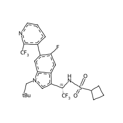 CC(C)(C)Cn1cc([C@H](NS(=O)(=O)C2CCC2)C(F)(F)F)c2cc(F)c(-c3cccnc3C(F)(F)F)cc21